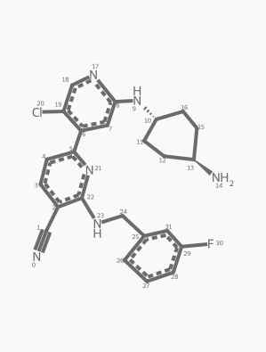 N#Cc1ccc(-c2cc(N[C@H]3CC[C@H](N)CC3)ncc2Cl)nc1NCc1cccc(F)c1